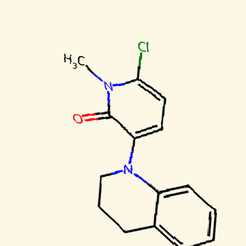 Cn1c(Cl)ccc(N2CCCc3ccccc32)c1=O